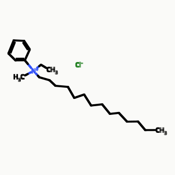 CCCCCCCCCCCCCC[N+](C)(CC)c1ccccc1.[Cl-]